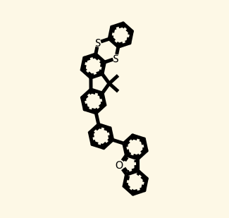 CC1(C)c2cc(-c3cccc(-c4cccc5c4oc4ccccc45)c3)ccc2-c2ccc3c(c21)Sc1ccccc1S3